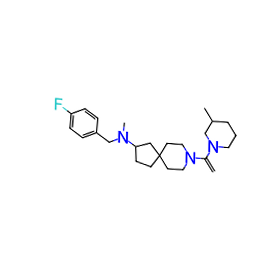 C=C(N1CCC2(CCC(N(C)Cc3ccc(F)cc3)C2)CC1)N1CCCC(C)C1